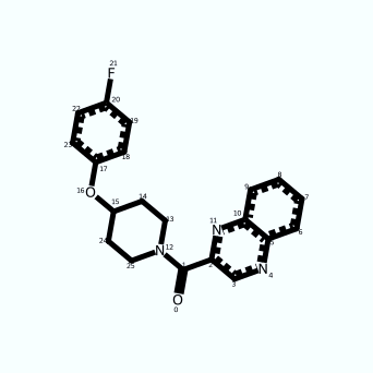 O=C(c1cnc2ccccc2n1)N1CCC(Oc2ccc(F)cc2)CC1